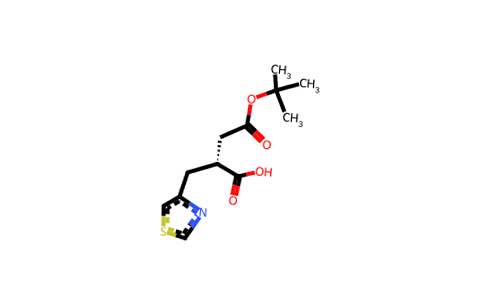 CC(C)(C)OC(=O)C[C@@H](Cc1cscn1)C(=O)O